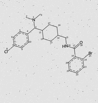 CN(C)C(c1ccc(Cl)cc1)C1CCC(CNC(=O)c2ccccc2Br)CC1